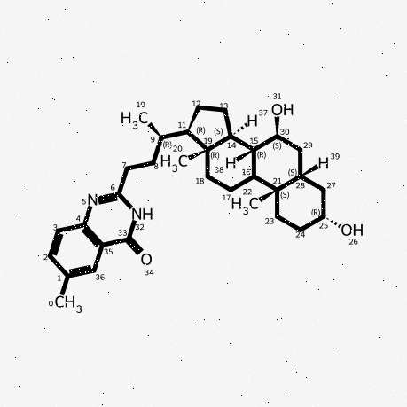 Cc1ccc2nc(CC[C@@H](C)[C@H]3CC[C@H]4[C@H]5C(CC[C@]34C)[C@@]3(C)CC[C@@H](O)C[C@H]3C[C@@H]5O)[nH]c(=O)c2c1